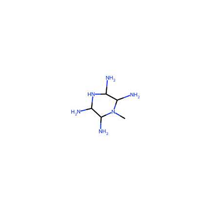 CN1C(N)C(N)NC(N)C1N